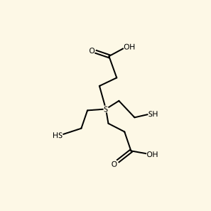 O=C(O)CCS(CCS)(CCS)CCC(=O)O